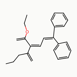 C=C(CCC)/C(=C/C=C(c1ccccc1)c1ccccc1)C(=C)OCC